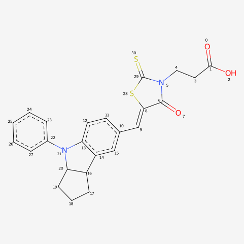 O=C(O)CCN1C(=O)/C(=C/c2ccc3c(c2)C2CCCC2N3c2ccccc2)SC1=S